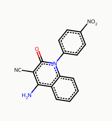 N#Cc1c(N)c2ccccc2n(-c2ccc([N+](=O)[O-])cc2)c1=O